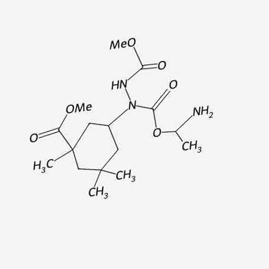 COC(=O)NN(C(=O)OC(C)N)C1CC(C)(C)CC(C)(C(=O)OC)C1